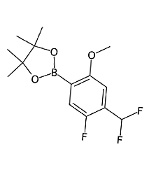 COc1cc(C(F)F)c(F)cc1B1OC(C)(C)C(C)(C)O1